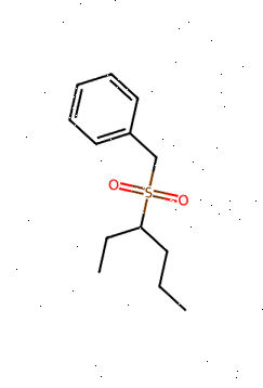 CCCC(CC)S(=O)(=O)Cc1ccccc1